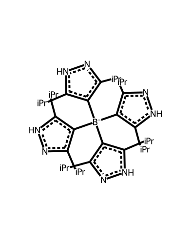 CC(C)c1n[nH]c(C(C)C)c1[B-](c1c(C(C)C)n[nH]c1C(C)C)(c1c(C(C)C)n[nH]c1C(C)C)c1c(C(C)C)n[nH]c1C(C)C